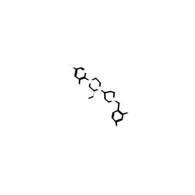 CC[C@H]1CN(c2ncc(N)cc2Cl)CCN1C1CCN(Cc2ccc(Br)cc2F)CC1